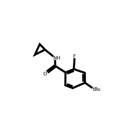 CC(C)(C)c1ccc(C(=O)NC2CC2)c(F)c1